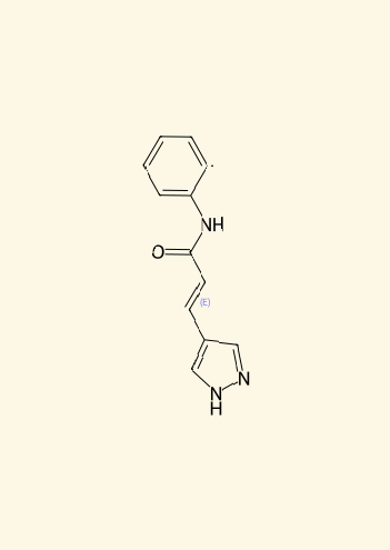 O=C(/C=C/c1cn[nH]c1)Nc1[c]cccc1